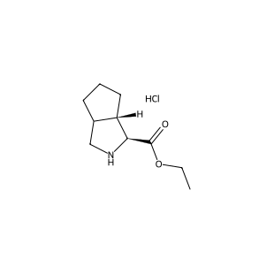 CCOC(=O)[C@H]1NCC2CCC[C@@H]21.Cl